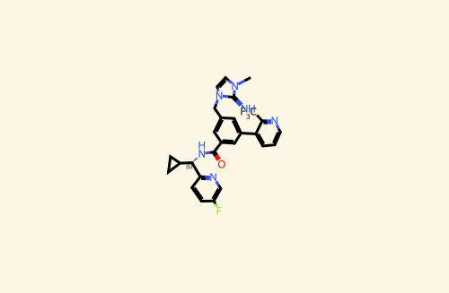 Cn1ccn(Cc2cc(C(=O)N[C@H](c3ccc(F)cn3)C3CC3)cc(-c3cccnc3C(F)(F)F)c2)c1=N